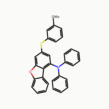 COc1cccc(Sc2cc(N(c3ccccc3)c3ccccc3)c3c(c2)oc2ccccc23)c1